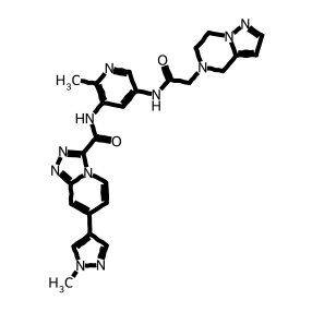 Cc1ncc(NC(=O)CN2CCn3nccc3C2)cc1NC(=O)c1nnc2cc(-c3cnn(C)c3)ccn12